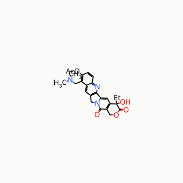 CC[C@@]1(O)C(=O)OCc2c1cc1n(c2=O)Cc2cc3c(CN(C)C)c(OC(C)=O)ccc3nc2-1